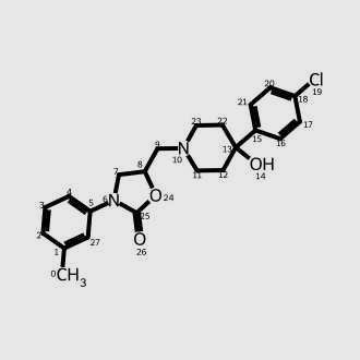 Cc1cccc(N2CC(CN3CCC(O)(c4ccc(Cl)cc4)CC3)OC2=O)c1